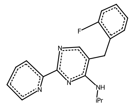 CC(C)Nc1nc(-c2ccccn2)ncc1Cc1ccccc1F